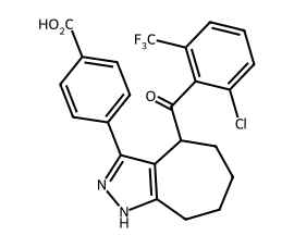 O=C(O)c1ccc(-c2n[nH]c3c2C(C(=O)c2c(Cl)cccc2C(F)(F)F)CCCC3)cc1